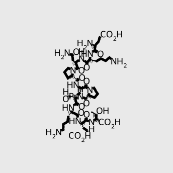 CC(C)C[C@H](NC(=O)[C@@H]1CCCN1C(=O)[C@H](CC(N)=O)NC(=O)[C@H](CCCCN)NC(=O)[C@@H](N)CCC(=O)O)C(=O)N1CCC[C@H]1C(=O)N[C@@H](CO)C(=O)N[C@@H](CCCCN)C(=O)N[C@@H](CCC(=O)O)C(=O)N[C@H](C(=O)O)[C@@H](C)O